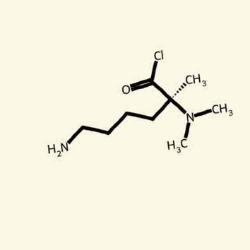 CN(C)[C@@](C)(CCCCN)C(=O)Cl